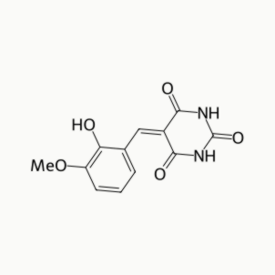 COc1cccc(C=C2C(=O)NC(=O)NC2=O)c1O